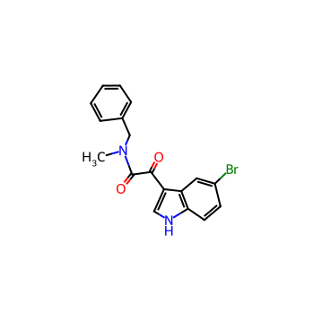 CN(Cc1ccccc1)C(=O)C(=O)c1c[nH]c2ccc(Br)cc12